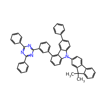 CC1(C)c2ccccc2-c2ccc(-n3c4ccc(-c5ccccc5)cc4c4c(-c5cccc(-c6nc(-c7ccccc7)nc(-c7ccccc7)n6)c5)cccc43)cc21